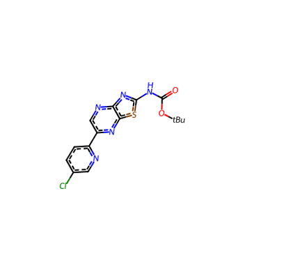 CC(C)(C)OC(=O)Nc1nc2ncc(-c3ccc(Cl)cn3)nc2s1